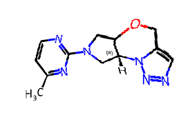 Cc1ccnc(N2CC3OCc4cnnn4[C@@H]3C2)n1